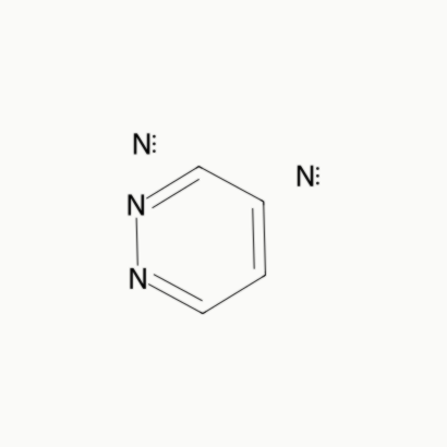 [N].[N].c1ccnnc1